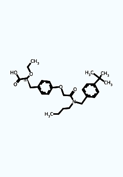 CCCCN(Cc1ccc(C(C)(C)C)cc1)C(=O)COc1ccc(C[C@H](OCC)C(=O)O)cc1